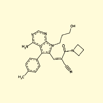 Cc1ccc(-c2c(/C=C(/C#N)C(=O)N3CCC3)n(CCCO)c3ncnc(N)c23)cc1